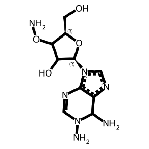 NOC1C(O)[C@H](n2cnc3c2N=CN(N)C3N)O[C@@H]1CO